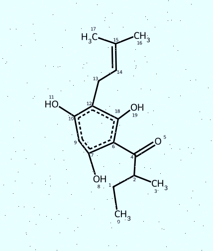 CCC(C)C(=O)c1c(O)cc(O)c(CC=C(C)C)c1O